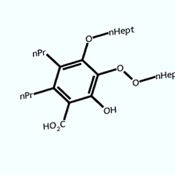 CCCCCCCOOc1c(O)c(C(=O)O)c(CCC)c(CCC)c1OCCCCCCC